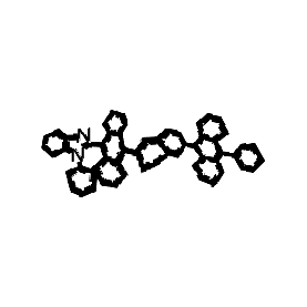 c1ccc(-c2c3ccccc3c(-c3ccc4cc(-c5c6ccccc6c(-c6nc7ccccc7n6-c6ccccc6)c6ccccc56)ccc4c3)c3ccccc23)cc1